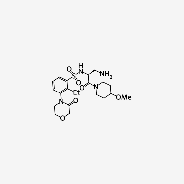 CCc1c(N2CCOCC2=O)cccc1S(=O)(=O)N[C@@H](CN)C(=O)N1CCC(OC)CC1